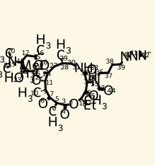 CC[C@H]1OC(=O)C(C)C(=O)[C@H](C)[C@@H](O[C@@H]2OC(C)CC(N(C)C)C2O)[C@](C)(OC)C[C@@H](C)CNC(=O)[C@H]2N(CCCCN=[N+]=[N-])C(=O)O[C@]12C